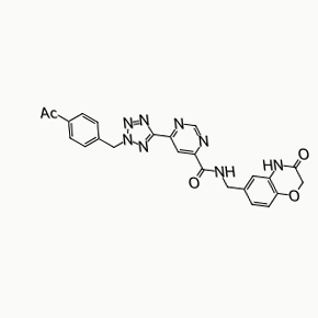 CC(=O)c1ccc(Cn2nnc(-c3cc(C(=O)NCc4ccc5c(c4)NC(=O)CO5)ncn3)n2)cc1